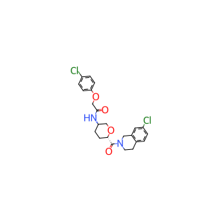 O=C(COc1ccc(Cl)cc1)N[C@@H]1CC[C@@H](C(=O)N2CCc3ccc(Cl)cc3C2)OC1